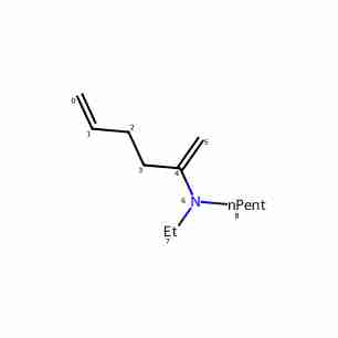 C=CCCC(=C)N(CC)CCCCC